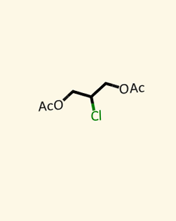 CC(=O)OCC(Cl)COC(C)=O